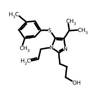 C=CCn1c(CCCO)nc(C(C)C)c1Sc1cc(C)cc(C)c1